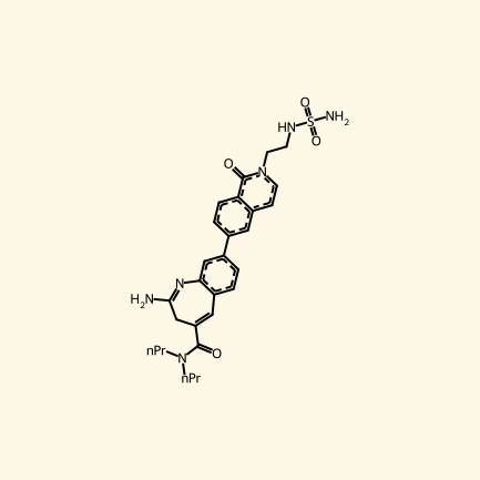 CCCN(CCC)C(=O)C1=Cc2ccc(-c3ccc4c(=O)n(CCNS(N)(=O)=O)ccc4c3)cc2N=C(N)C1